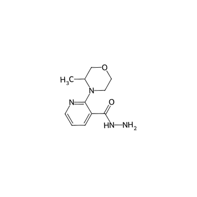 CC1COCCN1c1ncccc1C(=O)NN